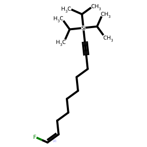 CC(C)[Si](C#CCCCCCC/C=C\F)(C(C)C)C(C)C